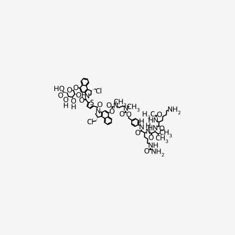 CC(=O)NC(CCCCN)C(=O)NC(C(=O)NC(CCCNC(N)=O)C(=O)Nc1ccc(COC(=O)N(C)CCN(C)C(=O)Oc2cc3c(c4ccccc24)[C@H](CCl)CN3C(=O)c2ccc(C(=O)N3C[C@@H](CCl)c4c3cc(O[C@@H]3O[C@H](C(=O)O)[C@@H](O)[C@H](O)[C@H]3O)c3ccccc43)s2)cc1)C(C)C